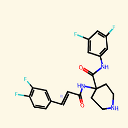 O=C(/C=C/c1ccc(F)c(F)c1)NC1(C(=O)Nc2cc(F)cc(F)c2)CCNCC1